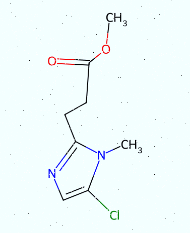 COC(=O)CCc1ncc(Cl)n1C